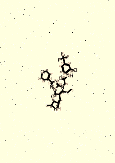 CCc1c(C=C2CNC(C)C2)c(=O)n2nc(C3=CCOCC3)nc2n1CC(=O)Nc1ccc(C(F)(F)F)cc1Cl